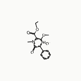 CCOC(=O)c1c(OC)[n+]([O-])c(-c2ccccc2)c(=O)n1C